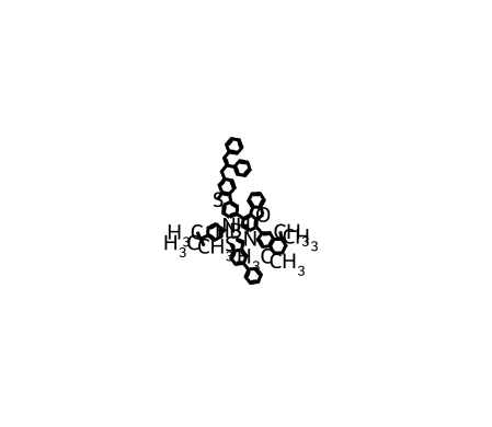 CC(C)(C)c1ccc(Nc2cc3sc4cc(C/C(=C/c5ccccc5)c5ccccc5)ccc4c3cc2-c2c3c4c(c5cc6c(cc5n4-c4c(sc5ccc(-c7ccccc7)cc45)B3)C(C)(C)CCC6(C)C)c3oc4ccccc4c23)cc1